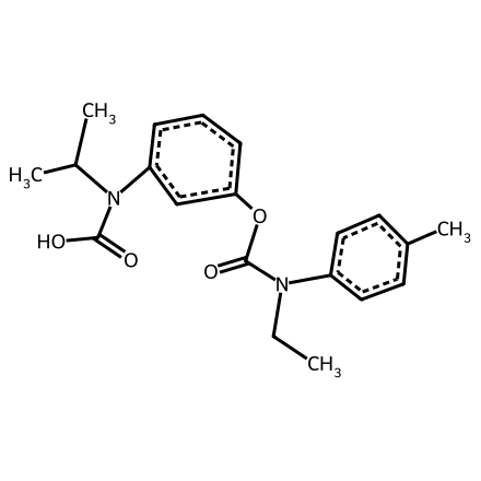 CCN(C(=O)Oc1cccc(N(C(=O)O)C(C)C)c1)c1ccc(C)cc1